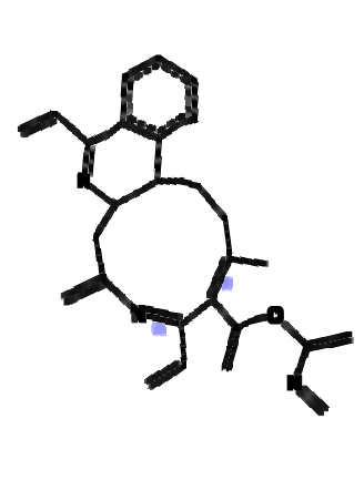 C=CC1=NC2CC(=C)/N=C(C=C)\C(C(=C)OC(=C)N=C)=C(\C)CCC2c2ccccc21